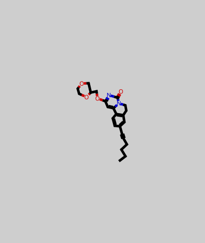 CCCCC#Cc1ccc2c(c1)CCn1c-2cc(OCC2COCCO2)nc1=O